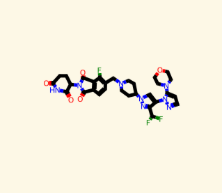 O=C1CCC(N2C(=O)c3ccc(CN4CCC(n5cc(-n6nccc6N6CCOCC6)c(C(F)F)n5)CC4)c(F)c3C2=O)C(=O)N1